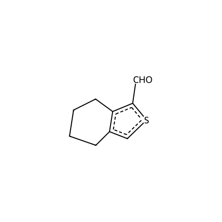 O=Cc1scc2c1CCCC2